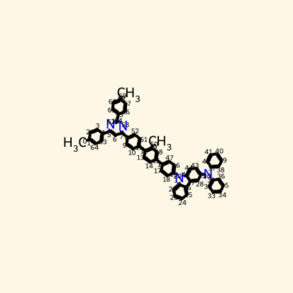 Cc1ccc(-c2cc(-c3ccc(-c4ccc(-c5ccc(-n6c7ccccc7c7cc(N(c8ccccc8)c8ccccc8)ccc76)cc5)cc4C)cc3)nc(-c3ccc(C)cc3)n2)cc1